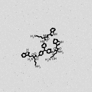 Cl.NCCCC[C@](N)(C(=O)Cc1c[nH]c2ccccc12)C(=O)Nc1ccc(C(c2ccc(NC(=O)[C@](N)(CCCCN)C(=O)Cc3c[nH]c4ccccc34)cc2)c2ccc(NC(=O)[C@](N)(CCCCN)C(=O)Cc3c[nH]c4ccccc34)cc2)cc1